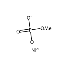 COP(=O)([O-])[O-].[Ni+2]